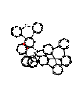 c1ccc(-c2ccccc2N(c2ccc3c(c2)-c2ccccc2Oc2ccccc2-3)c2ccc3c(c2)C2(c4ccccc4-c4ccccc4-3)c3ccccc3-c3cc4c(cc32)sc2ccccc24)cc1